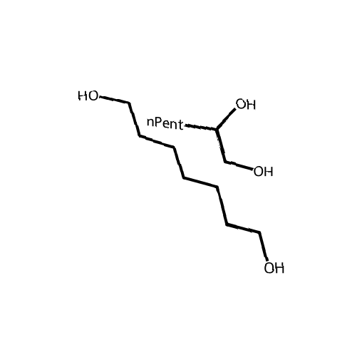 CCCCCC(O)CO.OCCCCCCCO